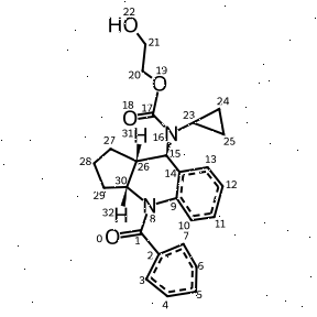 O=C(c1ccccc1)N1c2ccccc2[C@H](N(C(=O)OCCO)C2CC2)[C@H]2CCC[C@H]21